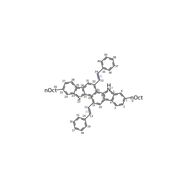 CCCCCCCCc1ccc2c(c1)[nH]c1c2cc(/C=C/c2ccccc2)c2c3sc4cc(CCCCCCCC)ccc4c3cc(/C=C/c3ccccc3)c12